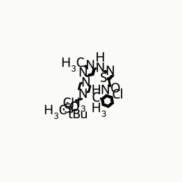 Cc1nc(Nc2ncc(C(=O)Nc3c(C)cccc3Cl)s2)cc(N2CCN(CCO[Si](C)(C)C(C)(C)C)CC2)n1